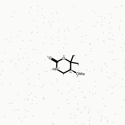 CO[C@H]1CNC(=O)OC1(C)C